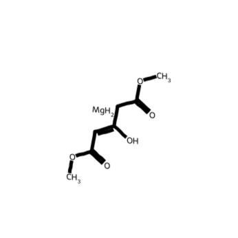 COC(=O)C=C(O)CC(=O)OC.[MgH2]